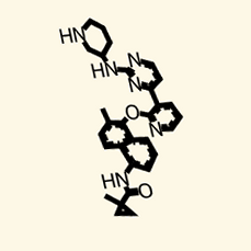 Cc1ccc2c(NC(=O)C3(C)CC3)cccc2c1Oc1ncccc1-c1ccnc(NC2CCCNC2)n1